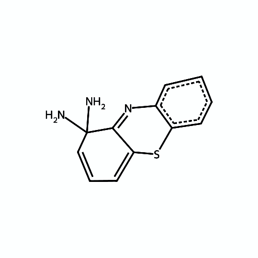 NC1(N)C=CC=C2Sc3ccccc3N=C21